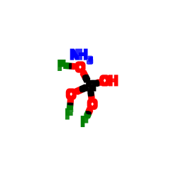 N.O[Si](OF)(OF)OF